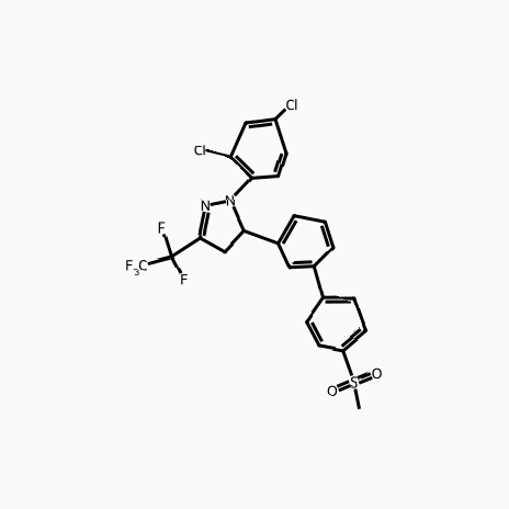 CS(=O)(=O)c1ccc(-c2cccc(C3CC(C(F)(F)C(F)(F)F)=NN3c3ccc(Cl)cc3Cl)c2)cc1